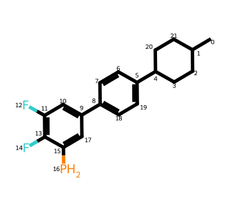 CC1CCC(c2ccc(-c3cc(F)c(F)c(P)c3)cc2)CC1